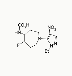 CCn1ncc([N+](=O)[O-])c1N1CCC(F)C(NC(=O)O)CC1